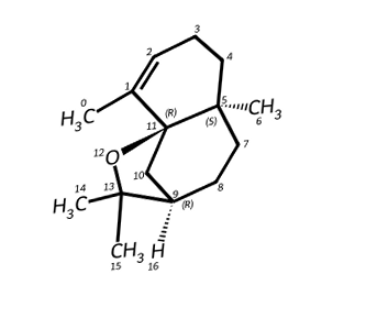 CC1=CCC[C@@]2(C)CC[C@@H]3C[C@]12OC3(C)C